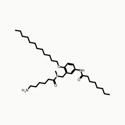 CCCCCCCCCCCCOc1ccc(NC(=O)CCCCCCC)cc1CN(C)C(=O)CCCCCN